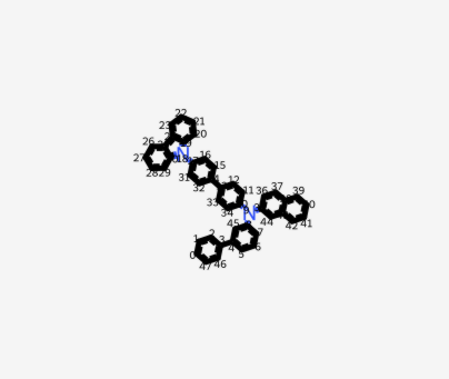 c1ccc(-c2cccc(N(c3ccc(-c4ccc(-n5c6ccccc6c6ccccc65)cc4)cc3)c3ccc4ccccc4c3)c2)cc1